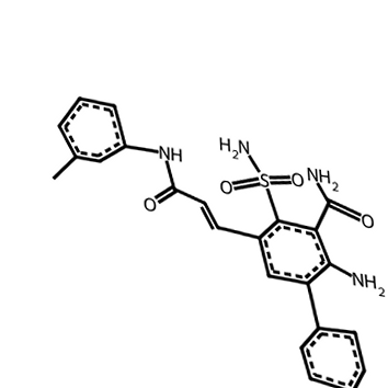 Cc1cccc(NC(=O)C=Cc2cc(-c3ccccc3)c(N)c(C(N)=O)c2S(N)(=O)=O)c1